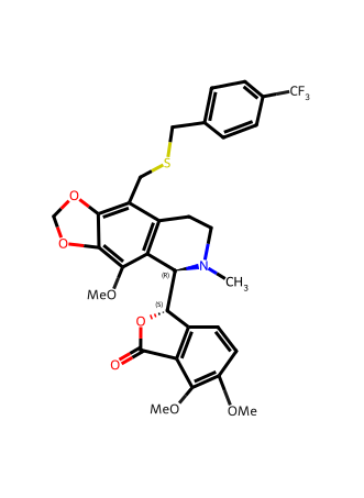 COc1ccc2c(c1OC)C(=O)O[C@@H]2[C@H]1c2c(c(CSCc3ccc(C(F)(F)F)cc3)c3c(c2OC)OCO3)CCN1C